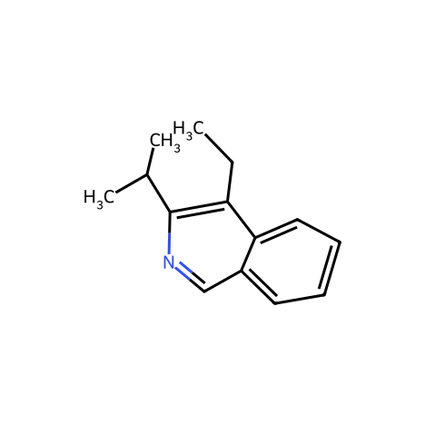 CCc1c(C(C)C)ncc2ccccc12